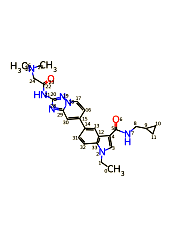 CCn1cc(C(=O)NCC2CC2)c2cc(-c3ccn4nc(NC(=O)CN(C)C)nc4c3)ccc21